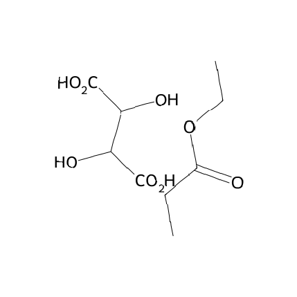 CCOC(=O)CC.O=C(O)C(O)C(O)C(=O)O